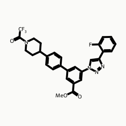 COC(=O)c1cc(-c2ccc(C3CCN(C(=O)C(F)(F)F)CC3)cc2)cc(-n2cc(-c3ccccc3F)nn2)c1